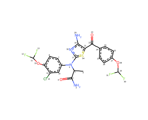 CC(C(N)=O)N(c1ccc(OC(F)F)c(Cl)c1)c1nc(N)c(C(=O)c2ccc(OC(F)F)cc2)s1